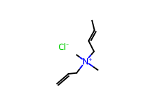 C=CC[N+](C)(C)CC=CC.[Cl-]